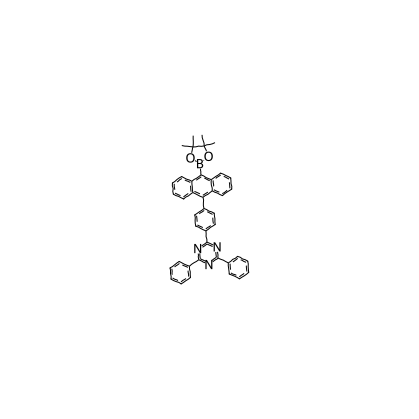 CC1(C)OB(c2c3ccccc3c(-c3ccc(-c4nc(-c5ccccc5)nc(-c5ccccc5)n4)cc3)c3ccccc23)OC1(C)C